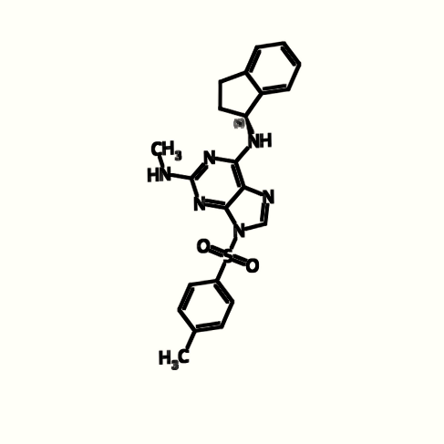 CNc1nc(N[C@H]2CCc3ccccc32)c2ncn(S(=O)(=O)c3ccc(C)cc3)c2n1